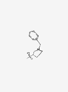 CS(=O)(=O)C1CCN(Cc2ccccc2)C1